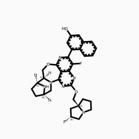 Oc1cc(-c2nc3c4c(nc(OC[C@@]56CCCN5C[C@H](F)C6)nc4c2F)N2C[C@H]4CC[C@H](N4)[C@H]2CO3)c2ccccc2c1